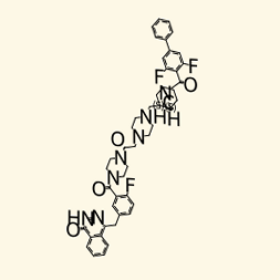 O=C(CN1CCN(C[C@H]2CC3CC[C@@H]2CN3C(=O)c2c(F)cc(-c3ccccc3)cc2F)CC1)N1CCN(C(=O)c2cc(Cc3n[nH]c(=O)c4ccccc34)ccc2F)CC1